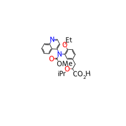 CCOc1ccc(CC(OC(C)C)C(=O)O)cc1N(C(=O)OC)c1ccnc2ccccc12